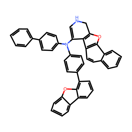 C1=C(N(c2ccc(-c3ccccc3)cc2)c2ccc(-c3cccc4c3oc3ccccc34)cc2)c2c(oc3c2ccc2ccccc23)CN1